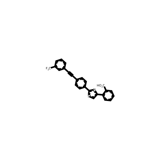 O=C(O)c1ccccc1-c1csc(-c2ccc(C#Cc3cccc(C(F)(F)F)c3)cc2)n1